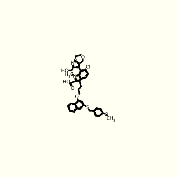 COc1ccc(CSc2cc(OCCCc3c(C(=O)O)n(C)c4c(-c5c(CO)nn6c5COCC6)c(Cl)ccc34)c3ccccc3c2)cc1